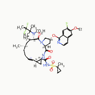 CCOc1cc2ccnc(O[C@@H]3C[C@H]4C(=O)N[C@]5(C(=O)NS(=O)(=O)C6(C)CC6)C[C@H]5/C=C\CC[C@H](C)C[C@@H](C)[C@H](N(C(=O)O)C(C)(C)C(C)(F)F)C(=O)N4C3)c2cc1F